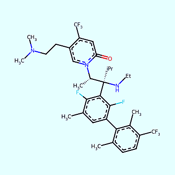 CCN[C@](c1c(F)c(C)cc(-c2c(C)ccc(C(F)(F)F)c2C)c1F)(C(C)C)[C@H](C)n1cc(CCN(C)C)c(C(F)(F)F)cc1=O